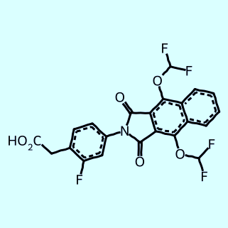 O=C(O)Cc1ccc(N2C(=O)c3c(c(OC(F)F)c4ccccc4c3OC(F)F)C2=O)cc1F